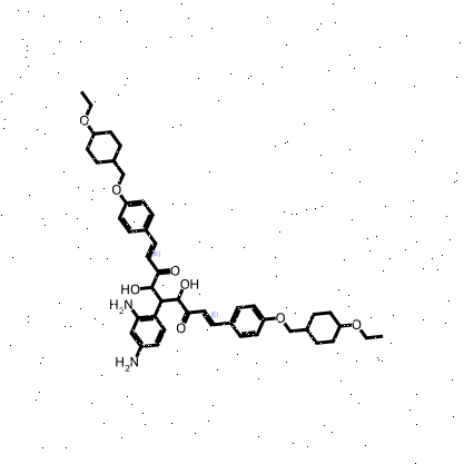 CCOC1CCC(COc2ccc(/C=C/C(=O)C(O)C(c3ccc(N)cc3N)C(O)C(=O)/C=C/c3ccc(OCC4CCC(OCC)CC4)cc3)cc2)CC1